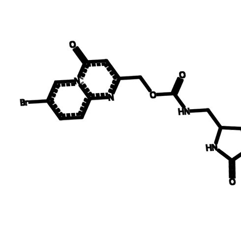 O=C1CCC(CNC(=O)OCc2cc(=O)n3cc(Br)ccc3n2)N1